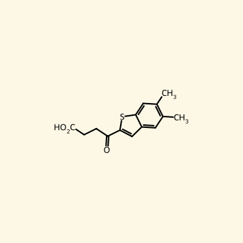 Cc1cc2cc(C(=O)CCC(=O)O)sc2cc1C